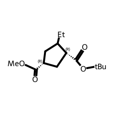 CCC1C[C@@H](C(=O)OC)C[C@H]1C(=O)OC(C)(C)C